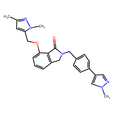 Cc1cc(COc2cccc3c2C(=O)N(Cc2ccc(-c4cnn(C)c4)cc2)C3)n(C)n1